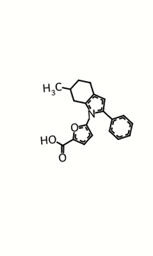 CC1CCc2cc(-c3ccccc3)n(-c3ccc(C(=O)O)o3)c2C1